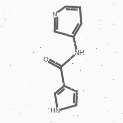 O=C(Nc1cccnc1)c1cc[nH]c1